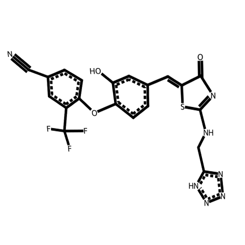 N#Cc1ccc(Oc2ccc(/C=C3\SC(NCc4nnn[nH]4)=NC3=O)cc2O)c(C(F)(F)F)c1